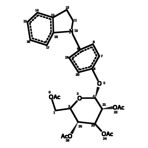 CC(=O)OCC1O[C@H](Oc2ccc(N3CCc4ccccc43)cc2)[C@H](OC(C)=O)C(OC(C)=O)[C@@H]1OC(C)=O